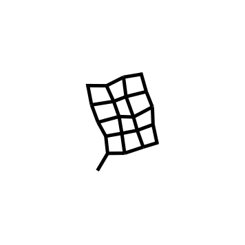 CC1C2C3CC4C5C6CC7C8CC9C%10C1C21C34C52C76C89C%1012